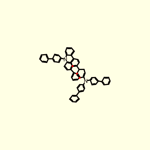 C1=CC(c2ccc(-c3ccccc3N(c3ccc(-c4ccccc4)cc3)c3ccc(-c4ccccc4)cc3)cc2)CC=C1N(c1ccc(-c2ccccc2)cc1)c1ccc(-c2ccccc2)cc1